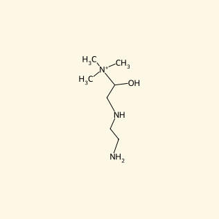 C[N+](C)(C)C(O)CNCCN